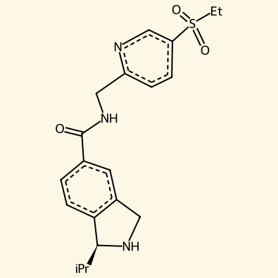 CCS(=O)(=O)c1ccc(CNC(=O)c2ccc3c(c2)CN[C@H]3C(C)C)nc1